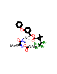 CC1(C)[C@H](C(=O)O[C@H](C#N)c2cccc(Oc3ccccc3)c2)[C@@H]1C(Br)C(Br)(Br)Br.CNC(=O)O/N=C(/SC)C(=O)N(C)C